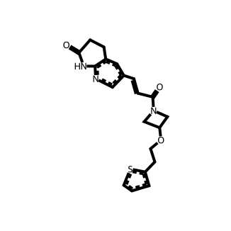 O=C1CCc2cc(/C=C/C(=O)N3CC(OCCc4cccs4)C3)cnc2N1